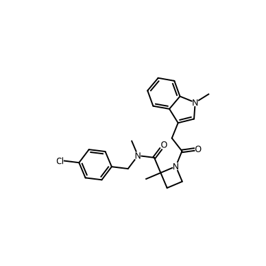 CN(Cc1ccc(Cl)cc1)C(=O)C1(C)CCN1C(=O)Cc1cn(C)c2ccccc12